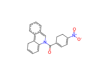 O=C(C1=CC=C([N+](=O)[O-])CC1)N1C=c2ccccc2=C2CC=CC=C21